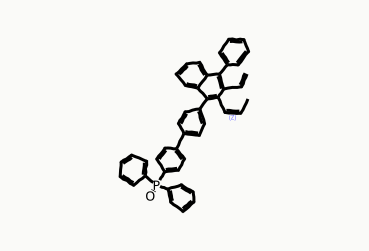 C=Cc1c(/C=C\C)c(-c2ccc(-c3ccc(P(=O)(c4ccccc4)c4ccccc4)cc3)cc2)c2ccccc2c1-c1ccccc1